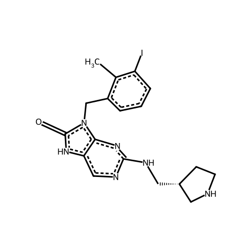 Cc1c(I)cccc1Cn1c(=O)[nH]c2cnc(NC[C@@H]3CCNC3)nc21